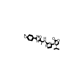 COc1ccc(-c2noc([C@H](C)Nc3nccc(N4C(=O)OC[C@@H]4C(C)C)n3)n2)cc1